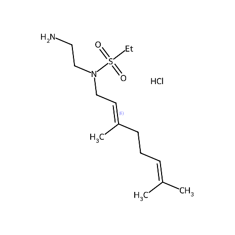 CCS(=O)(=O)N(C/C=C(\C)CCC=C(C)C)CCN.Cl